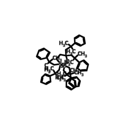 CC(C)(CC1(CC(C)(C)c2ccccc2)C[CH2][Sn]([CH2]C(C)(C)c2ccccc2)([CH2]C(C)(C)c2ccccc2)[Sn]([CH2]C(C)(C)c2ccccc2)([CH2]C(C)(C)c2ccccc2)[O]1)c1ccccc1